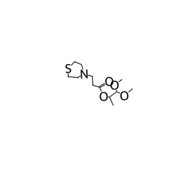 COC(OC)C(C)OC(=O)CCN1CCSCC1